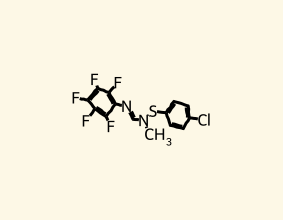 CN(C=Nc1c(F)c(F)c(F)c(F)c1F)Sc1ccc(Cl)cc1